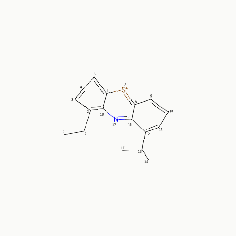 CCc1cccc2[s+]c3cccc(C(C)C)c3nc12